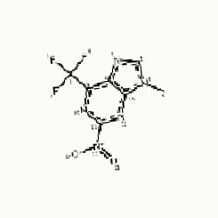 Cn1cnc2c(C(F)(F)F)nc([N+](=O)[O-])nc21